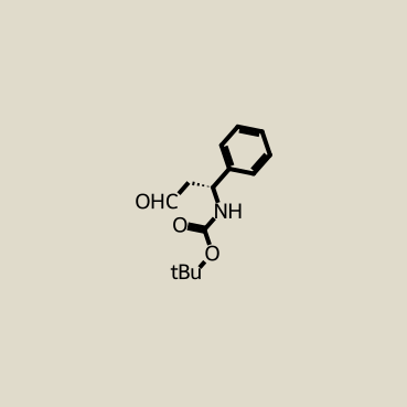 CC(C)(C)OC(=O)N[C@H](CC=O)c1ccccc1